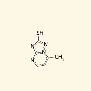 Cc1ccnc2nc(S)nn12